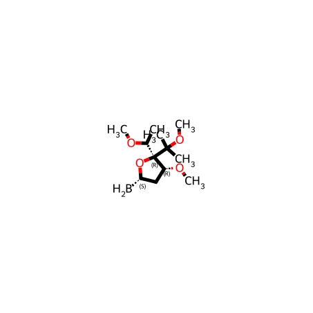 B[C@H]1C[C@@H](OC)[C@](C(C)OC)(C(C)(C)OC)O1